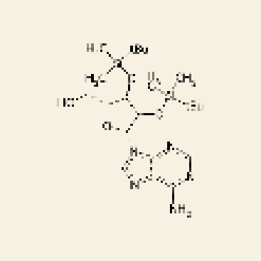 CC(C)(C)[Si](C)(C)O[C@@H]1[C@H](O[Si](C)(C)C(C)(C)C)[C@@H](CO)O[C@H]1n1cnc2c(N)ncnc21